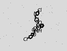 O=C(N[C@@H](Cc1ccccn1)C(=O)NCC(=O)N1CCC(Sc2ccc(Cl)cn2)CC1)c1cc2cc(Cl)ccc2o1